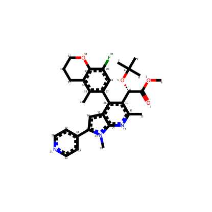 COC(=O)[C@@H](OC(C)(C)C)c1c(C)nc2c(cc(-c3ccncc3)n2C)c1-c1cc(F)c2c(c1C)CCCO2